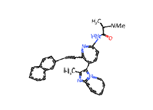 CNC(C)C(=O)Nc1ccc(-c2c(C)nc3ccccn23)c(C#Cc2ccc3ccccc3c2)n1